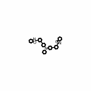 c1ccc(N(c2ccc(-c3cccc(-c4nc5ccccc5o4)c3)cc2)c2ccc(-c3cccc(-c4nc5ccccc5o4)c3)cc2)cc1